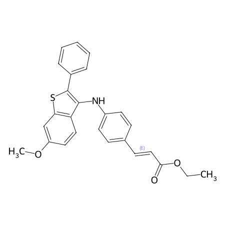 CCOC(=O)/C=C/c1ccc(Nc2c(-c3ccccc3)sc3cc(OC)ccc23)cc1